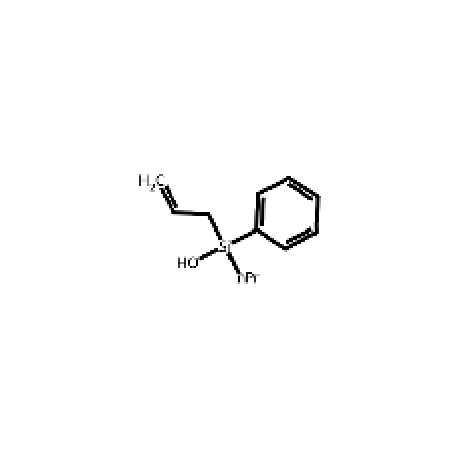 C=CC[Si](O)(CCC)c1ccccc1